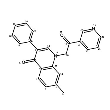 Cc1ccc2c(=O)c(-c3ccccc3)cn(CC(=O)c3cccnc3)c2c1